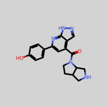 O=C(c1cc(-c2ccc(O)cc2)nc2[nH]ncc12)N1CCC2CNCC21